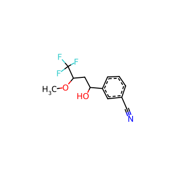 COC(CC(O)c1cccc(C#N)c1)C(F)(F)F